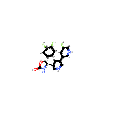 O=C1N[C@H](c2cncc(-c3cncc(F)c3)c2)[C@@H](c2ccc(F)c(F)c2)O1